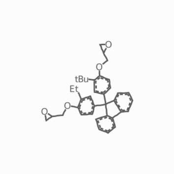 CCc1cc(C2(c3ccc(OCC4CO4)c(C(C)(C)C)c3)c3ccccc3-c3ccccc32)ccc1OCC1CO1